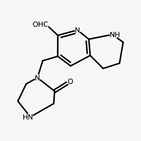 O=Cc1nc2c(cc1CN1CCNCC1=O)CCCN2